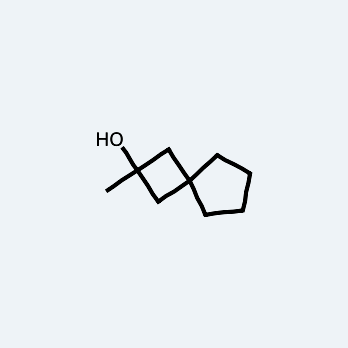 CC1(O)CC2(CCCC2)C1